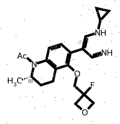 CC(=O)N1c2ccc(/C(C=N)=C/NC3CC3)c(OCC3(F)COC3)c2CC[C@@H]1C